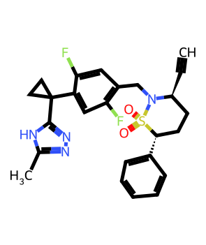 C#C[C@H]1CC[C@H](c2ccccc2)S(=O)(=O)N1Cc1cc(F)c(C2(c3nnc(C)[nH]3)CC2)cc1F